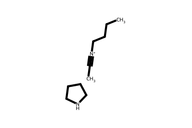 C1CCNC1.CC#[N+]CCCC